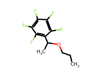 CCCOC(C)c1c(F)c(F)c(F)c(F)c1F